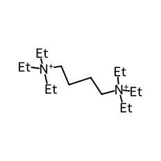 CC[N+](CC)(CC)CCCC[N+](CC)(CC)CC